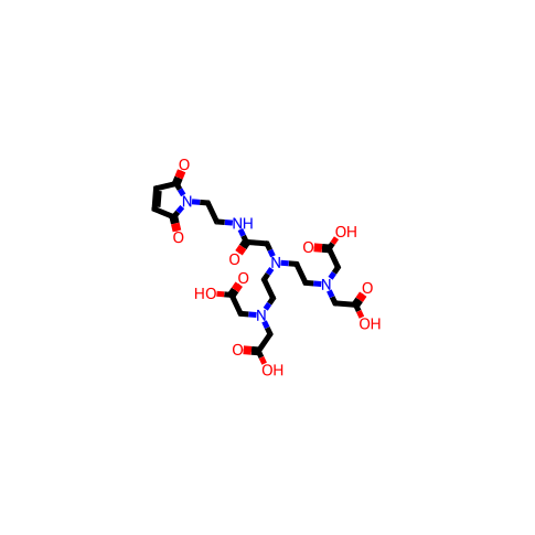 O=C(O)CN(CCN(CCN(CC(=O)O)CC(=O)O)CC(=O)NCCN1C(=O)C=CC1=O)CC(=O)O